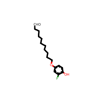 O=CCCCCCCCCCCOc1ccc(O)c(F)c1